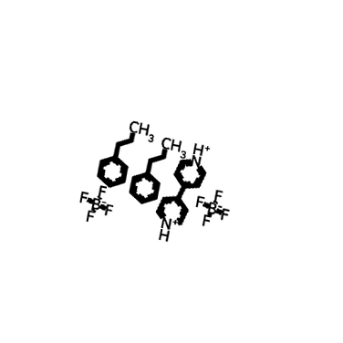 CCCc1ccccc1.CCCc1ccccc1.F[B-](F)(F)F.F[B-](F)(F)F.c1cc(-c2cc[nH+]cc2)cc[nH+]1